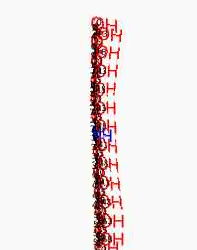 OCC(O)COCC(O)COCC(O)COCC(O)COCC(O)COCC(O)CNCC(O)COCC(O)COCC(O)COCC(O)COCC(O)COCC(O)CO